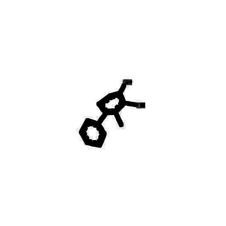 Cc1c(-c2ccccc2)c[c]c(O)c1O